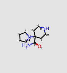 NC(=O)C1(N2CCCC2)CCNCC1